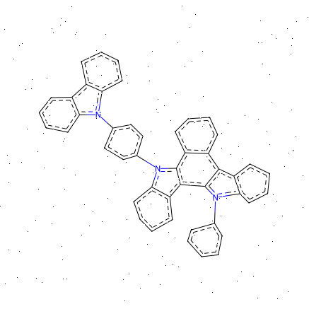 c1ccc(-n2c3ccccc3c3c4ccccc4c4c(c5ccccc5n4-c4ccc(-n5c6ccccc6c6ccccc65)cc4)c32)cc1